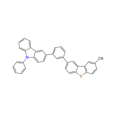 N#Cc1ccc2sc3ccc(-c4cccc(-c5ccc6c(c5)c5ccccc5n6-c5ccccc5)c4)cc3c2c1